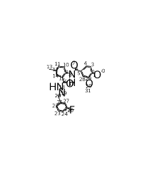 COc1ccc(C(=O)Nc2ccc(C)cc2C(=O)NN=Cc2cccc(F)c2)cc1OC